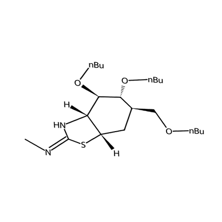 CCCCOC[C@H]1C[C@@H]2S/C(=N/C)N[C@@H]2[C@@H](OCCCC)[C@@H]1OCCCC